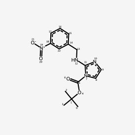 CC(C)(C)OC(=O)n1ccnc1NCc1cccc([N+](=O)[O-])c1